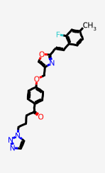 Cc1ccc(/C=C/c2nc(COc3ccc(C(=O)CCCn4ccnn4)cc3)co2)c(F)c1